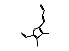 C=C/C=C/c1sc(C=O)c(C)c1C